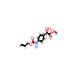 C=CCOC(=O)Nc1ccc(C(O)C(=O)OC)cc1